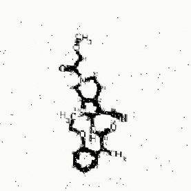 CCOc1ccccc1C(C)C(=O)Nc1sc2c(c1C#N)CCN(C(=O)COC)C2